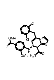 COC(=O)c1ccc(NN2C=C(Cc3c(Cl)cccc3Cl)[N+]3C=CN=C3C2C(N)=O)c(OC)c1